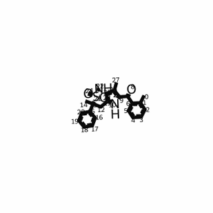 Cc1ccccc1C(=O)c1[nH]c(CC(C)(c2ccccc2)S(N)(=O)=O)cc1C